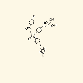 O=C(CC[C@H]1C(=O)N(c2ccc(CCc3nc[nH]n3)cc2)[C@@H]1c1ccc(CCC(O)(CO)CO)cc1)c1ccc(F)cc1